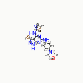 CSc1n[nH]c2nc(Nc3ccc(N4CCOCC4)cc3)nc(Nc3nccs3)c12